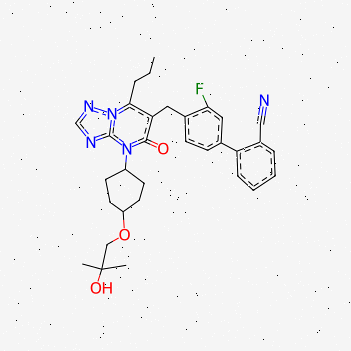 CCCc1c(Cc2ccc(-c3ccccc3C#N)cc2F)c(=O)n(C2CCC(OCC(C)(C)O)CC2)c2ncnn12